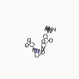 C=c1cccc/c1=C(/C=C(\N)c1ccc(OC)c(OC)c1)C(=O)N1CCC2(CC1)CC(=O)c1cc(-c3nn[nH]n3)ccc1O2